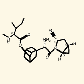 CCC(C)[C@H](NC)C(=O)OC1=C2C3CC(C1)CC2([C@H](N)C(=O)N1[C@H](C#N)C[C@@H]2C[C@@H]21)C3